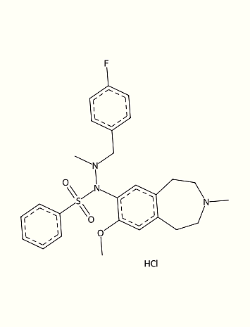 COc1cc2c(cc1N(N(C)Cc1ccc(F)cc1)S(=O)(=O)c1ccccc1)CCN(C)CC2.Cl